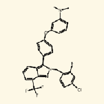 CN(C)c1cccc(Oc2ccc(-c3c4cccc(C(F)(F)F)c4nn3Cc3ccc(Cl)cc3F)cc2)c1